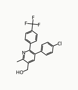 Cc1nc(-c2ccc(C(F)(F)F)cc2)c(-c2ccc(Cl)cc2)cc1CO